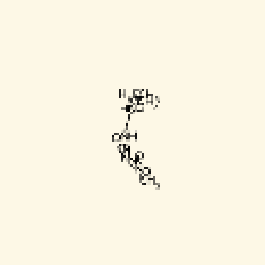 C=CC(=O)N1CCN(c2cn3cc(C(=O)NCCCCCCNC(=O)OC(C)(C)C)ccc3n2)C(=O)C1